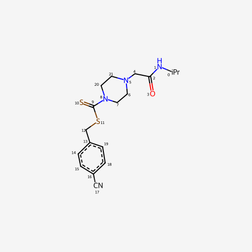 CC(C)NC(=O)CN1CCN(C(=S)SCc2ccc(C#N)cc2)CC1